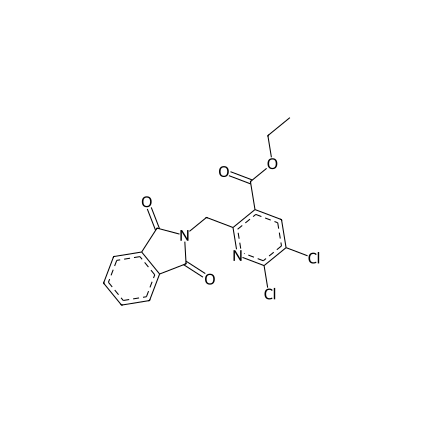 CCOC(=O)c1cc(Cl)c(Cl)nc1CN1C(=O)c2ccccc2C1=O